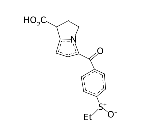 CC[S+]([O-])c1ccc(C(=O)c2ccc3n2CCC3C(=O)O)cc1